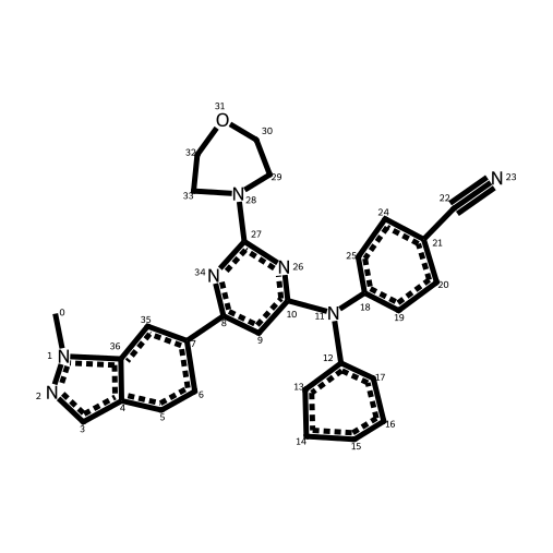 Cn1ncc2ccc(-c3cc(N(c4ccccc4)c4ccc(C#N)cc4)nc(N4CCOCC4)n3)cc21